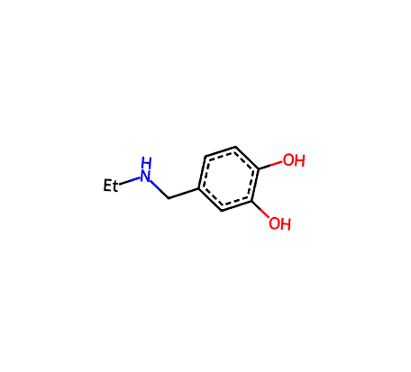 CCNCc1ccc(O)c(O)c1